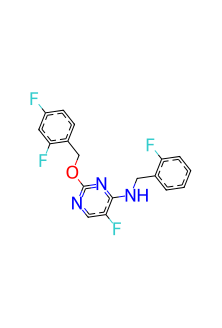 Fc1ccc(COc2ncc(F)c(NCc3ccccc3F)n2)c(F)c1